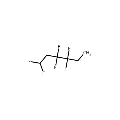 CCC(F)(F)C(F)(F)CC(F)F